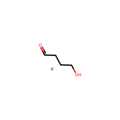 O=CCCCO.[V]